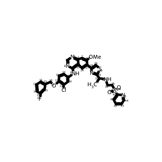 COc1cc2ncnc(Nc3ccc(OCc4cccc(F)c4)c(Cl)c3)c2cc1-c1csc(C(C)NCCS(=O)(=O)c2ccccn2)n1